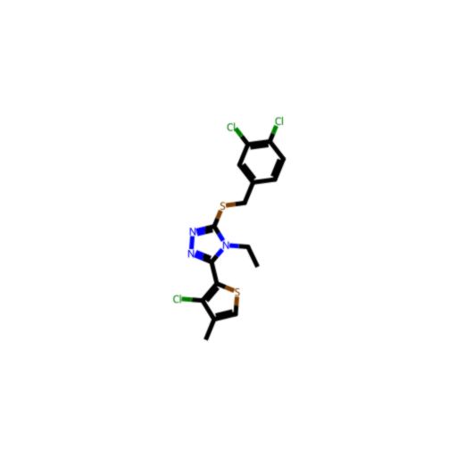 CCn1c(SCc2ccc(Cl)c(Cl)c2)nnc1-c1scc(C)c1Cl